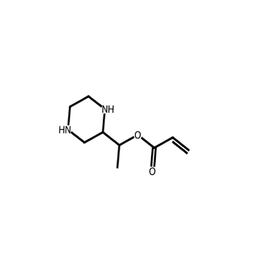 C=CC(=O)OC(C)C1CNCCN1